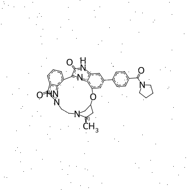 C[C@@H]1CC2CN1CCn1[nH]c3c(cccc3c1=O)-c1nc3c(cc(-c4ccc(C(=O)N5CCCC5)cc4)cc3[nH]c1=O)O2